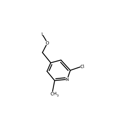 Cc1cc(COI)cc(Cl)n1